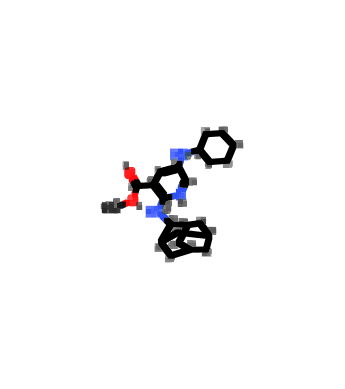 CC(C)(C)OC(=O)c1cc(NC2CCCCC2)cnc1NC1C2CC3CC(C2)CC1C3